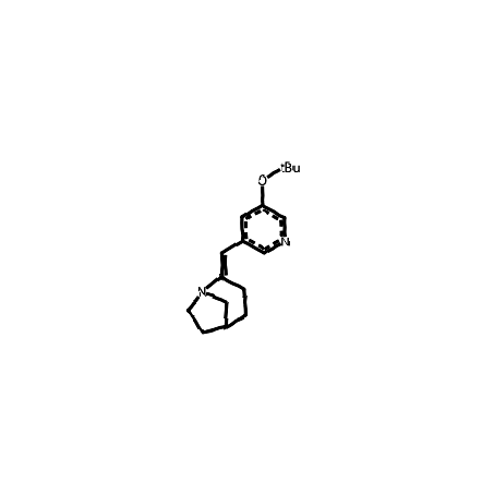 CC(C)(C)Oc1cncc(C=C2CCC3CCN2C3)c1